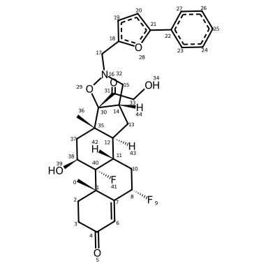 C[C@]12CCC(=O)C=C1[C@@H](F)C[C@H]1[C@@H]3C[C@H]4CN(Cc5ccc(-c6ccccc6)o5)O[C@@]4(C(=O)CO)[C@@]3(C)C[C@H](O)[C@@]12F